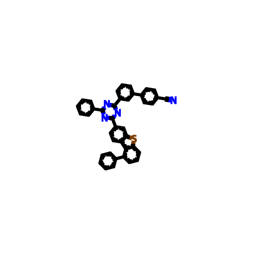 N#Cc1ccc(-c2cccc(-c3nc(-c4ccccc4)nc(-c4ccc5c(c4)sc4cccc(-c6ccccc6)c45)n3)c2)cc1